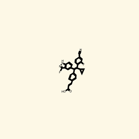 N#Cc1ccc(C(=C(c2ccc(C=CC(=O)O)cc2)c2ccc3[nH]nc(F)c3c2)C2CC2)c(F)c1